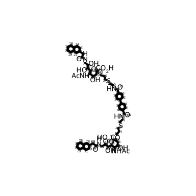 CC(=O)N[C@H]1[C@H]([C@H](O)[C@H](O)CNC(=O)Cc2ccc3ccccc3c2)O[C@@](OCCCSCCNC(=O)c2ccc(-c3ccc(C(=O)NCCSCCCO[C@]4(C(=O)O)C[C@H](O)[C@@H](NC(C)=O)[C@H]([C@H](O)[C@H](O)CNC(=O)Cc5ccc6ccccc6c5)O4)cc3)cc2)(C(=O)O)C[C@@H]1O